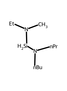 CCCCN(CCC)[SiH2]N(C)CC